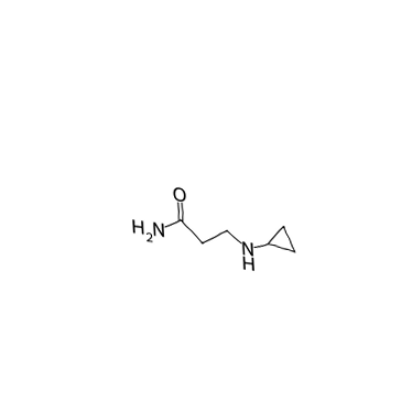 NC(=O)CCNC1CC1